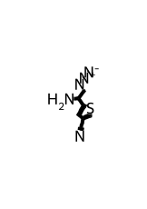 N#Cc1csc(C(N)CN=[N+]=[N-])c1